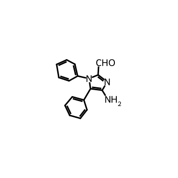 Nc1nc(C=O)n(-c2ccccc2)c1-c1ccccc1